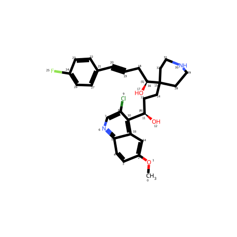 COc1ccc2ncc(Cl)c([C@H](O)CCC3([C@@H](O)CC#Cc4ccc(F)cc4)CCNCC3)c2c1